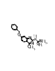 Cc1nc(NC(=N)N)nc2cc(OCc3ccccc3)ccc12